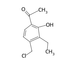 CCc1c(CCl)ccc(C(C)=O)c1O